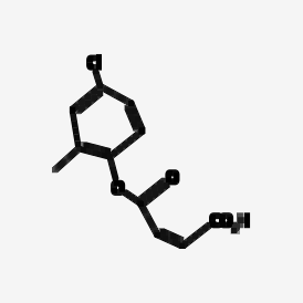 Cc1cc(Cl)ccc1OC(=O)/C=C\C(=O)O